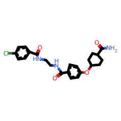 NC(=O)C1CCC(Oc2ccc(C(=O)NCCNC(=O)c3ccc(Cl)cc3)cc2)CC1